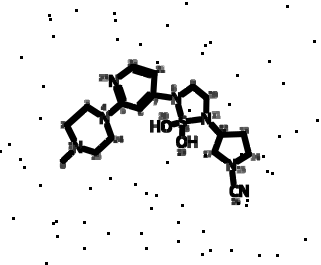 CN1CCN(c2cc(N3CCN(C4CCN(C#N)C4)S3(O)O)ccn2)CC1